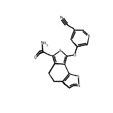 N#Cc1cncc(Oc2sc(C(N)=O)c3c2-c2sncc2CC3)c1